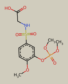 COc1ccc(S(=O)(=O)NCC(=O)O)cc1OP(=O)(OC)OC